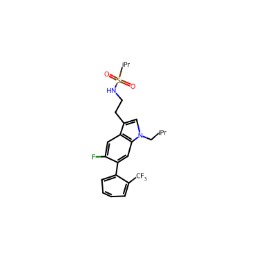 CC(C)Cn1cc(CCNS(=O)(=O)C(C)C)c2cc(F)c(-c3ccccc3C(F)(F)F)cc21